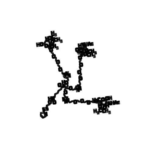 CC(=O)N[C@@H]1[C@H]2OC(C)(C)O[C@H]2[C@@](C)(COCCOCCOCCOCCn2cc(COCC(COCc3cn(CCOCCOCCOCCOC[C@@]45CO[C@@H](O4)[C@H](NC(C)=O)[C@H]4OC(C)(C)O[C@H]45)nn3)(COCc3cn(CCOCCOCCOCCOC[C@@]4(C)O[C@H](O)C[C@H]5OC(C)(C)O[C@H]54)nn3)NC(=O)CCCCCNC(=O)OCCSSc3ccccn3)nn2)O[C@@H]1O